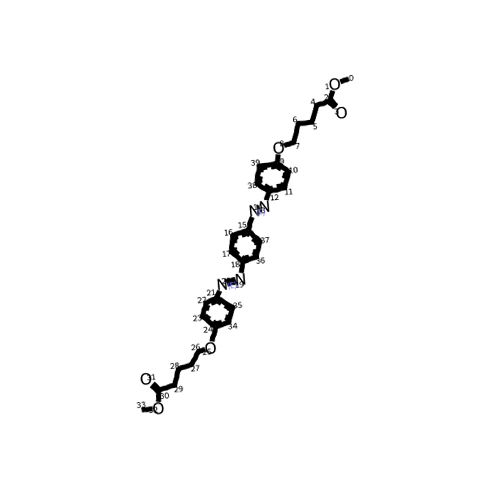 COC(=O)CCCCOc1ccc(/N=N/c2ccc(/N=N/c3ccc(OCCCCC(=O)OC)cc3)cc2)cc1